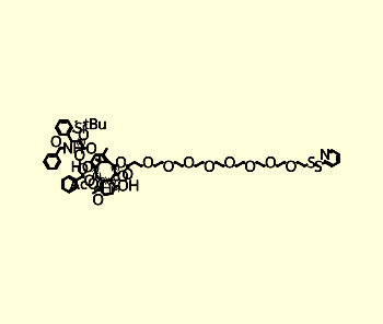 CC(=O)O[C@@]12COC1C[C@H](O)[C@@]1(C)C(=O)[C@H](OC(=O)CCOCCOCCOCCOCCOCCOCCOCCOCCSSc3ccccn3)C3=C(C)C(OC(=O)[C@H](O[Si](C)(C)C(C)(C)C)C(NC(=O)c4ccccc4)c4ccccc4)C[C@@](O)([C@@H](OC(=O)c4ccccc4)[C@@H]12)C3(C)C